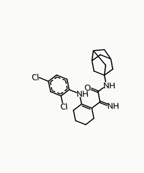 N=C(C(=O)NC12CC3CC(C1)C(C3)C2)C1=C(Nc2ccc(Cl)cc2Cl)CCCC1